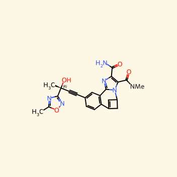 CNC(=O)c1c(C(N)=O)nc2n1C1C=C(C1)c1ccc(C#C[C@@](C)(O)c3noc(C)n3)cc1-2